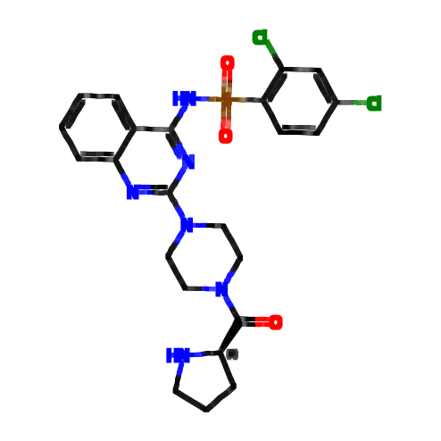 O=C([C@H]1CCCN1)N1CCN(c2nc(NS(=O)(=O)c3ccc(Cl)cc3Cl)c3ccccc3n2)CC1